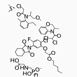 CC1COc2ccccc2N1C(=O)C(Cl)Cl.CCCCCOC(=O)COc1cc(N2C(=O)C3=C(CCCC3)C2=O)c(F)cc1Cl.CCc1cccc(C)c1N(C(=O)CCl)C(C)COC.C[S+](C)C.O=C(O)CNCP(=O)([O-])O